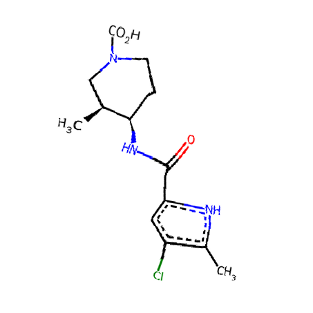 Cc1[nH]c(C(=O)N[C@@H]2CCN(C(=O)O)C[C@@H]2C)cc1Cl